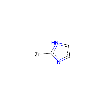 [Zr][c]1ncc[nH]1